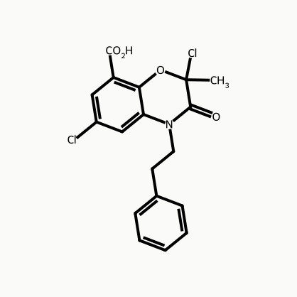 CC1(Cl)Oc2c(C(=O)O)cc(Cl)cc2N(CCc2ccccc2)C1=O